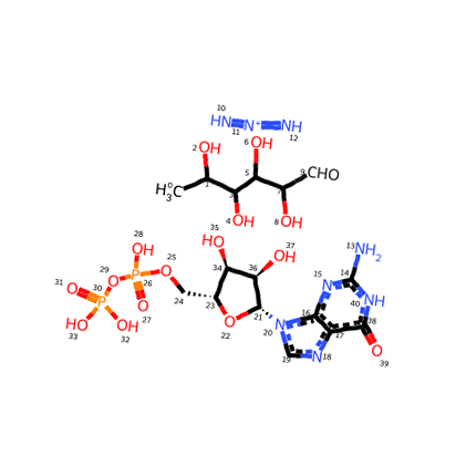 CC(O)C(O)C(O)C(O)C=O.N=[N+]=N.Nc1nc2c(ncn2[C@@H]2O[C@H](COP(=O)(O)OP(=O)(O)O)[C@@H](O)[C@H]2O)c(=O)[nH]1